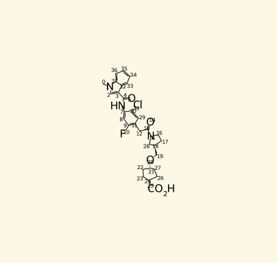 Cn1cc(C(=O)Nc2cc(F)c(CC(=O)N3CC[C@@H](CO[C@H]4CC[C@H](C(=O)O)CC4)C3)cc2Cl)c2ccccc21